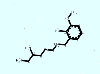 COc1cccc(CNCCCC(N)CN)c1O